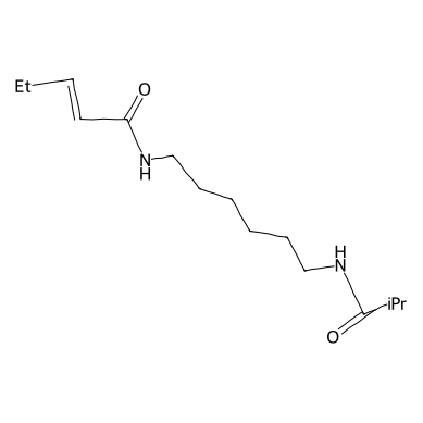 CC/C=C/C(=O)NCCCCCCNC(=O)C(C)C